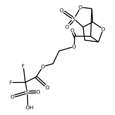 O=C(OCCOC(=O)C(F)(F)S(=O)(=O)O)C1C2CC3C(O2)C1OS3(=O)=O